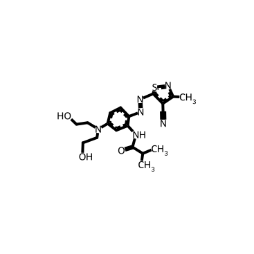 Cc1nsc(N=Nc2ccc(N(CCO)CCO)cc2NC(=O)C(C)C)c1C#N